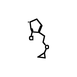 ClC1=C[CH]CC=C1CCOC1CC1